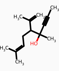 C=C(C)C(CC=C(C)C)C(C)(O)C#CC